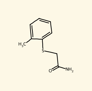 Cc1ccccc1SCC(N)=O